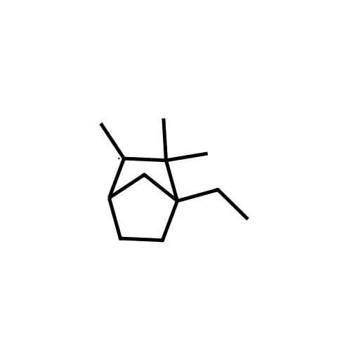 CCC12CCC(C1)[C](C)C2(C)C